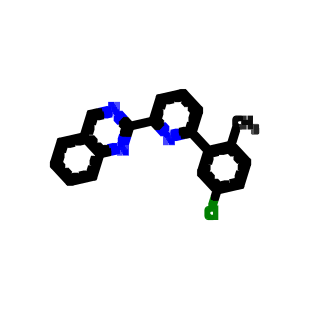 Cc1ccc(Cl)cc1-c1cccc(-c2ncc3ccccc3n2)n1